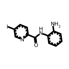 Nc1ccccc1NC(=O)c1ccc(I)cn1